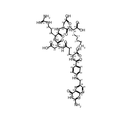 CCSSC[C@H](NC(=O)[C@H](CC(=O)O)NC(=O)[C@H](CCCNC(=N)N)NC(=O)[C@H](CC(=O)O)NC(=O)CC[C@H](NC(=O)c1ccc(NCc2cnc3nc(N)[nH]c(=O)c3n2)cc1)C(=O)O)C(=O)O